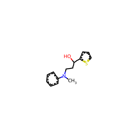 CN(CCC(O)c1cccs1)c1ccccc1